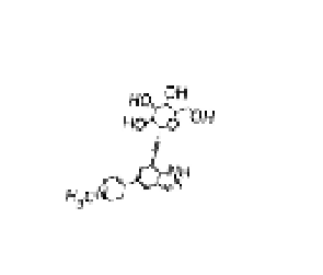 CN1CC=C(c2cc(C#C[C@H]3O[C@H](CO)[C@@H](O)[C@H](O)[C@@H]3O)c3[nH]ncc3c2)CC1